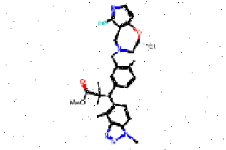 CC[C@@H]1CN(Cc2cc([C@@H](c3ccc4c(nnn4C)c3C)C(C)(C)C(=O)OC)ccc2C)Cc2c(ccnc2F)O1